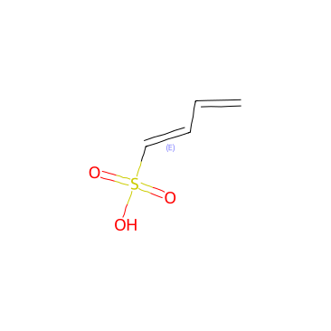 C=C/C=C/S(=O)(=O)O